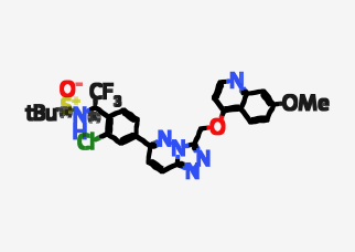 COc1ccc2c(OCc3nnc4ccc(-c5ccc([C@@H](N[S@@+]([O-])C(C)(C)C)C(F)(F)F)c(Cl)c5)nn34)ccnc2c1